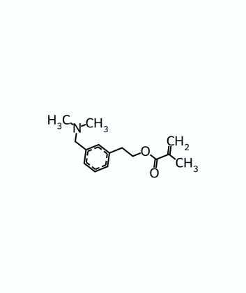 C=C(C)C(=O)OCCc1cccc(CN(C)C)c1